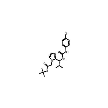 CC(C)C(NC(=O)Nc1ccc(Cl)cc1)c1nccn1CC(=O)OC(C)(C)C